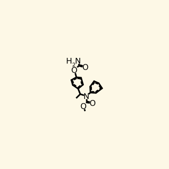 COC(=O)N(c1ccccc1)C(C)c1ccc(OC(N)=O)cc1